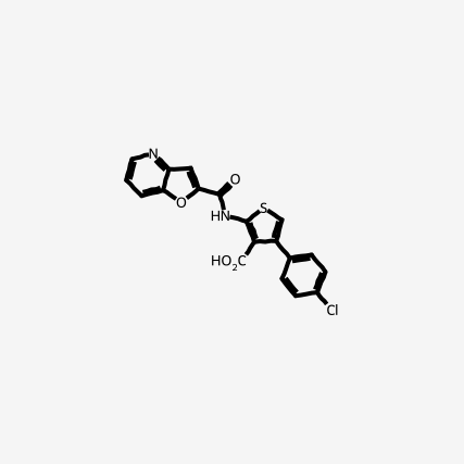 O=C(Nc1scc(-c2ccc(Cl)cc2)c1C(=O)O)c1cc2ncccc2o1